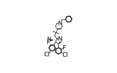 CC(C)(CC1=NC=C(c2cccc(Cl)c2F)[C@@]1(C#N)c1ccc(Cl)cc1F)C1=CCN(Cc2ccccc2)CC1